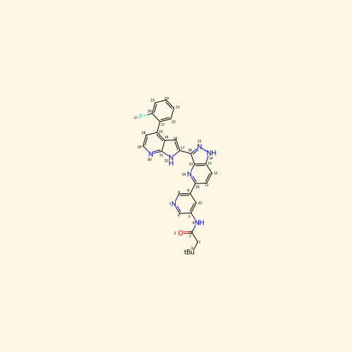 CC(C)(C)CC(=O)Nc1cncc(-c2ccc3[nH]nc(-c4cc5c(-c6ccccc6F)ccnc5[nH]4)c3n2)c1